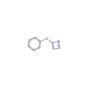 [c]1ccccc1OC1=CC=N1